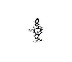 CC1=C/CC2(C)C(c3ccc4ccncc4c3)CC[C@H]2[C@@H]2CC[C@]3(CC(N(C)CCF)CC\C3=C\1)O2